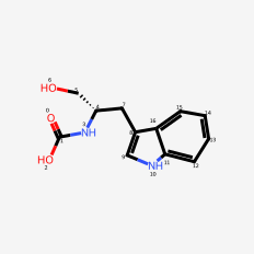 O=C(O)N[C@H](CO)Cc1c[nH]c2ccccc12